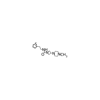 CN1CCN(C2CN(C(=O)NCCc3cccs3)C2)CC1